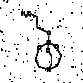 CCCO[Si]12OCCN(CCO1)CCO2